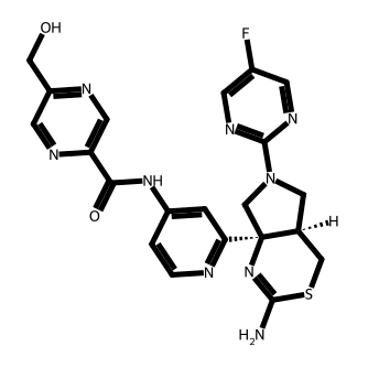 NC1=N[C@@]2(c3cc(NC(=O)c4cnc(CO)cn4)ccn3)CN(c3ncc(F)cn3)C[C@H]2CS1